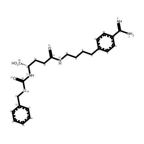 N=C(N)c1ccc(CCCCNC(=O)CC[C@H](NC(=O)OCc2ccccc2)C(=O)O)cc1